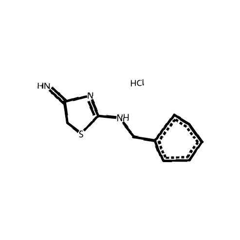 Cl.N=C1CSC(NCc2ccccc2)=N1